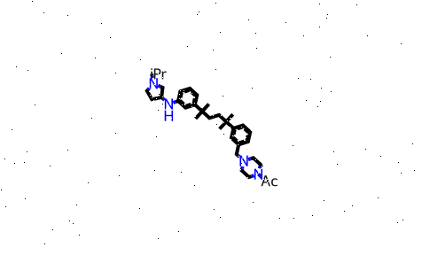 CC(=O)N1CCN(Cc2cccc(C(C)(C)CCC(C)(C)c3cccc(NC4CCN(C(C)C)C4)c3)c2)CC1